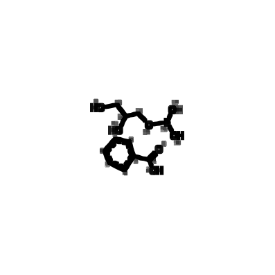 O=C(O)c1ccccc1.OCC(O)COB(O)O